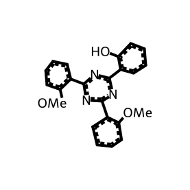 COc1ccccc1-c1nc(-c2ccccc2O)nc(-c2ccccc2OC)n1